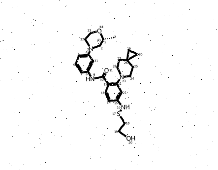 C[C@@H]1CN(c2cccc(NC(=O)c3ccc(NSCCO)cc3N3CCC4(CC3)CC4)c2)CCO1